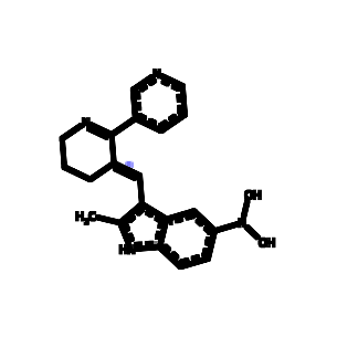 Cc1[nH]c2ccc(N(O)O)cc2c1/C=C1\CCCN=C1c1cccnc1